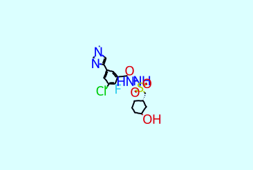 Cn1cnc(-c2cc(Cl)c(F)c(C(=O)NNS(=O)(=O)C[C@H]3CCC[C@H](O)C3)c2)c1